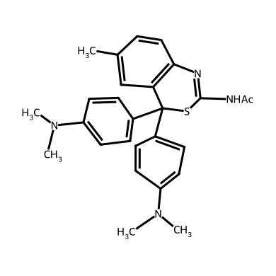 CC(=O)NC1=Nc2ccc(C)cc2C(c2ccc(N(C)C)cc2)(c2ccc(N(C)C)cc2)S1